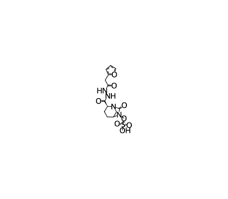 O=C(Cc1ccco1)NNC(=O)[C@@H]1CCC2CN1C(=O)N2OS(=O)(=O)O